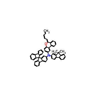 C=C/C=C\C=C1/Oc2ccc(N(c3ccc4c(c3)C(C)(C)c3ccccc3-4)c3ccc4c(c3)C3(c5ccccc5-c5ccccc53)c3ccccc3-4)cc2-c2ccccc21